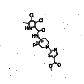 COC(=O)c1cnc(N2CC[C@H](NC(=O)c3[nH]c(C)c(Cl)c3Cl)[C@H](F)C2)s1